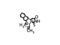 COCCn1c(-c2cc3ccccc3cc2OC)cc(=O)[nH]c1=S